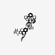 CC1(C)CN(CCF)Cc2cc(Nc3ncc4c(=O)n(-c5c(Cl)cccc5Cl)c5nccn5c4n3)ccc21